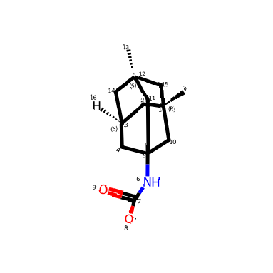 C[C@]12C[C@H]3CC(NC([O])=O)(C1)C[C@@](C)(C3)C2